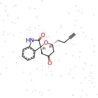 C#CCC[C@@H]1CC(=O)C[C@]2(O1)C(=O)Nc1ccccc12